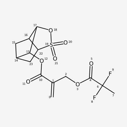 C=C(COC(=O)C(C)(F)F)C(=O)OC1C2CC3C1OS(=O)(=O)C3C2